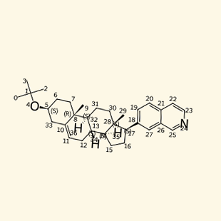 CC(C)(C)O[C@H]1CC[C@@]2(C)C(=CC[C@H]3[C@@H]4CC[C@H](c5ccc6ccncc6c5)[C@@]4(C)CC[C@@H]32)C1